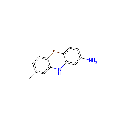 Cc1ccc2c(c1)Nc1cc(N)ccc1S2